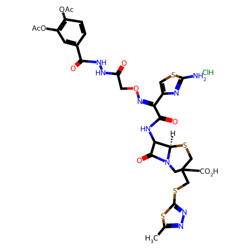 CC(=O)Oc1ccc(C(=O)NNC(=O)CON=C(C(=O)NC2C(=O)N3CC(CSc4nnc(C)s4)(C(=O)O)CS[C@H]23)c2csc(N)n2)cc1OC(C)=O.Cl